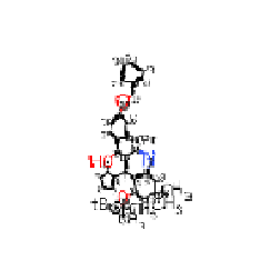 CC(C)c1nc2c(c(C3=CCCC3)c1C(O)c1ccc(OCc3ccccc3)cc1)C(O[Si](C)(C)C(C)(C)C)CC(C)(C)C2